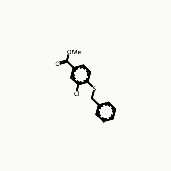 COC(=O)c1ccc(SCc2ccccc2)c(Cl)c1